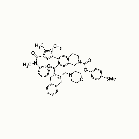 CSc1ccc(OC(=O)N2CCc3cc(-c4cc(C(=O)N(C)c5ccccc5)c(C)n4C)c(C(=O)N4Cc5ccccc5C[C@H]4CN4CCOCC4)cc3C2)cc1